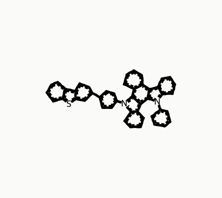 c1ccc(-n2c3ccccc3c3c4ccccc4c4c(c5ccccc5n4-c4ccc(-c5ccc6c(c5)sc5ccccc56)cc4)c32)cc1